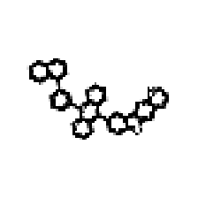 c1cc(-c2cccc3ccccc23)cc(-c2c3ccccc3c(-c3ccc4oc5cc6cccnc6cc5c4c3)c3ccccc23)c1